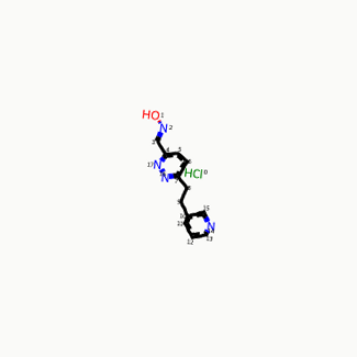 Cl.ON=Cc1ccc(CCc2cccnc2)nn1